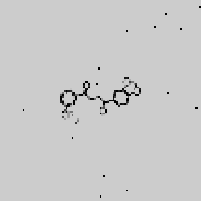 O=C(CCC(=O)c1ccc2c(c1)OCO2)c1cccc(C(F)(F)F)c1